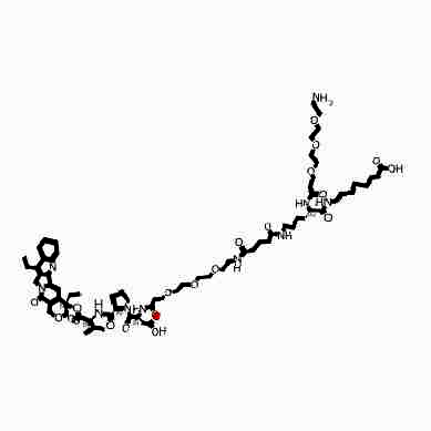 CCc1c2c(nc3ccccc13)-c1cc3c(c(=O)n1C2)COC(=O)[C@@]3(CC)OC(=O)[C@@H](NC(=O)[C@@H]1CCCN1C(=O)[C@H](CC(=O)O)NC(=O)CCOCCOCCOCCNC(=O)CCCC(=O)NCCCC[C@H](NC(=O)CCOCCOCCOCCN)C(=O)NCCCCCCCC(=O)O)C(C)C